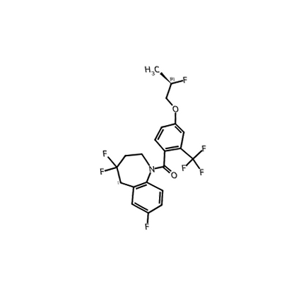 C[C@@H](F)COc1ccc(C(=O)N2CCC(F)(F)[C]c3cc(F)ccc32)c(C(F)(F)F)c1